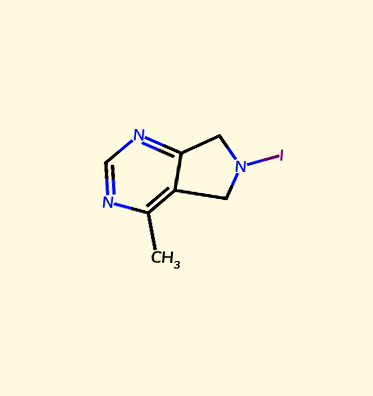 Cc1ncnc2c1CN(I)C2